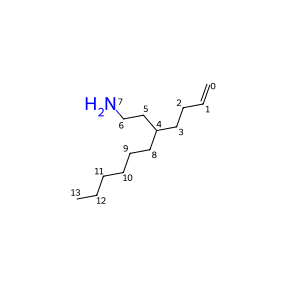 C=CCCC(CCN)CCCCCC